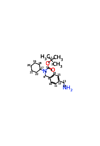 CC(C)(C)OC(=O)N(Cc1ccc(CN)cc1)C1CCCCC1